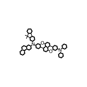 CC1(C)c2ccccc2-c2ccc(N(c3ccc4c(c3)Oc3ccc5c6c(ccc-4c36)Oc3cc(N(c4ccccc4)c4ccccc4)ccc3-5)c3ccc4c(ccc5ccccc54)c3)cc21